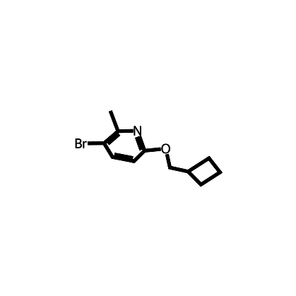 Cc1nc(OCC2CCC2)ccc1Br